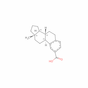 C[C@@]12CCC[C@H]1[C@@H]1CCc3ccc(C(=O)O)cc3[C@H]1CC2